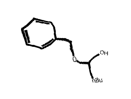 CCCCC(O)OCc1ccccc1